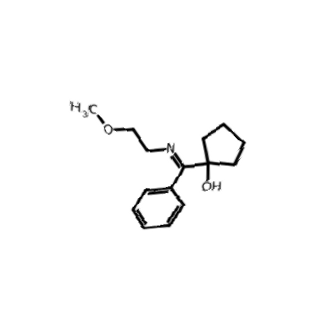 COCC/N=C(\c1ccccc1)C1(O)CCCC1